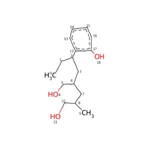 CCC(CC(CO)CC(C)CO)c1ccccc1O